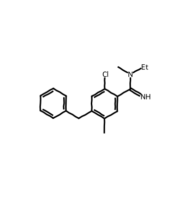 CCN(C)C(=N)c1cc(C)c(Cc2ccccc2)cc1Cl